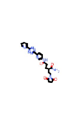 NC(=O)C(CCC(=O)Nc1ccc(-c2nnc(-c3ccccn3)nn2)nc1)CCN1C(=O)C=CC1=O